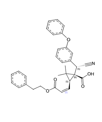 CC1(C)[C@H](/C=C\C(=O)OCCc2ccccc2)[C@@]1(C(=O)O)[C@@H](C#N)c1cccc(Oc2ccccc2)c1